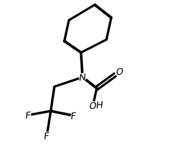 O=C(O)N(CC(F)(F)F)C1CCCCC1